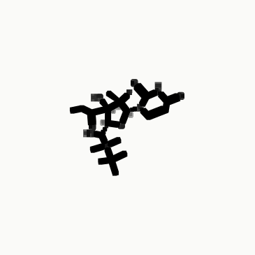 CCC(=O)[C@@]1(O)[C@@H](C(O)[Si](C)(C)C(C)(C)C)O[C@@H](n2ccc(=O)[nH]c2=O)[C@@]1(C)F